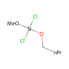 CCCCO[Si](Cl)(Cl)OC